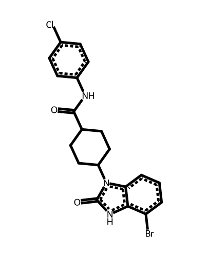 O=C(Nc1ccc(Cl)cc1)C1CCC(n2c(=O)[nH]c3c(Br)cccc32)CC1